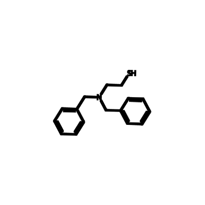 SCCN(Cc1ccccc1)Cc1ccccc1